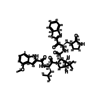 COc1cccc2[nH]c(C(=O)N[C@@H](CC(C)C)C(=O)N3C[C@H]4[C@@H]([C@H]3C(=O)N[C@@H](C[C@@H]3CCNC3=O)C(=O)c3nc5ccccc5s3)C4(C)C)cc12